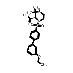 CCOc1cccc(-c2ccc(S(=O)(=O)N3CCSC(C)(C)[C@@H]3C(=O)O)cc2)c1